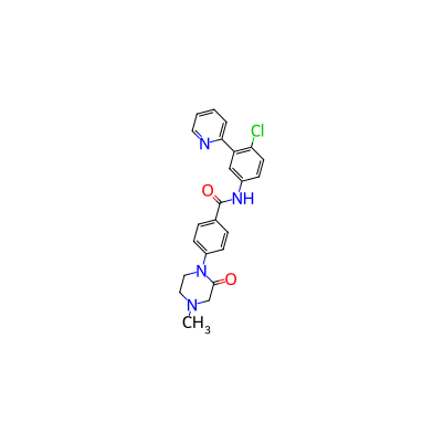 CN1CCN(c2ccc(C(=O)Nc3ccc(Cl)c(-c4ccccn4)c3)cc2)C(=O)C1